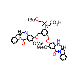 COc1cc2c(cc1OCc1cc(COc3cc4c(cc3OC)C(=O)N3c5ccccc5C[C@H]3CN4)cc(N(CC(=O)O)C(C)(C)CCOC(C)(C)C)c1)N=C[C@@H]1Cc3ccccc3N1C2=O